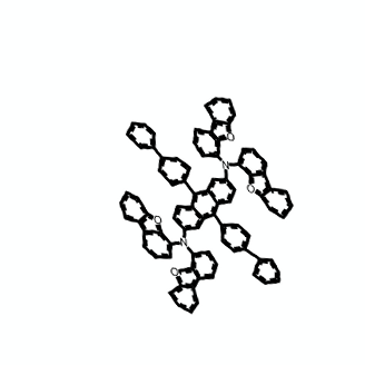 c1ccc(-c2ccc(-c3c4ccc(N(c5cccc6c5oc5ccccc56)c5cccc6c5oc5ccccc56)cc4c(-c4ccc(-c5ccccc5)cc4)c4ccc(N(c5cccc6c5oc5ccccc56)c5cccc6c5oc5ccccc56)cc34)cc2)cc1